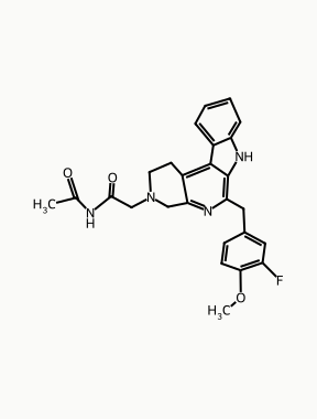 COc1ccc(Cc2nc3c(c4c2[nH]c2ccccc24)CCN(CC(=O)NC(C)=O)C3)cc1F